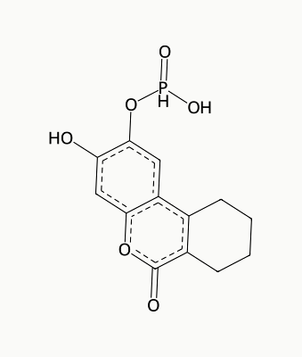 O=c1oc2cc(O)c(O[PH](=O)O)cc2c2c1CCCC2